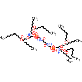 CCCCCC/C=C\CCCC(=O)O[C@H](CCCCCCC)CCOCC(COP(=O)(O)OCCNC(=O)CCC(=O)NCCOP(=O)(O)OCC(COCC[C@@H](CCCCCCC)OC(=O)CCC/C=C\CCCCCC)NC(=O)C[C@@H](CCCCCCC)OC(=O)CCC/C=C\CCCCCC)NC(=O)C[C@@H](CCCCCCC)OC(=O)CCC/C=C\CCCCCC